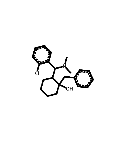 CN(C)C(c1ccccc1Cl)C1CCCCC1(O)Cc1ccccc1